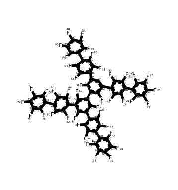 Cc1c(F)c(-c2c(F)c(-c3c(F)c(-c4c(F)c(F)c(-c5c(F)c(F)c(F)c(F)c5F)c(F)c4F)cc(-c4c(F)c(F)c(-c5c(F)c(F)c(F)c(F)c5F)c(F)c4F)c3F)c(F)c(-c3c(F)c(F)c(-c4c(F)c(F)c(F)c(F)c4F)c(F)c3F)c2F)c(F)c(F)c1-c1c(F)c(F)c(F)c(F)c1F